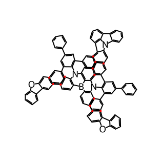 c1ccc(-c2cc(-c3ccccc3)c(N3c4cc(-c5ccc6oc7ccccc7c6c5)ccc4B4c5ccc(-c6ccc7oc8ccccc8c7c6)cc5N(c5c(-c6ccccc6)cc(-c6ccccc6)cc5-c5ccccc5)c5cc(-c6ccc7c(c6)c6cccc8c9ccccc9n7c86)cc3c54)c(-c3ccccc3)c2)cc1